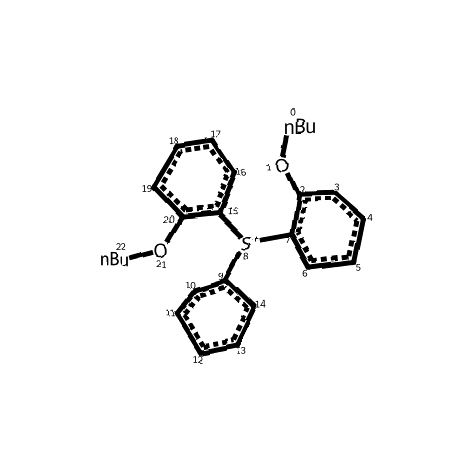 CCCCOc1ccccc1[S+](c1ccccc1)c1ccccc1OCCCC